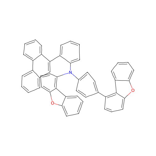 c1ccc(N(c2ccc(-c3cccc4oc5ccccc5c34)cc2)c2cccc3oc4ccccc4c23)c(-c2cc3ccccc3c3ccccc23)c1